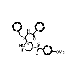 COc1ccc(S(=O)(=O)N(CC(C)C)C[C@@H](O)[C@H](Cc2ccccc2)NC(=O)c2ccccc2)cc1